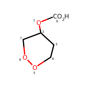 O=C(O)OC1CCOOC1